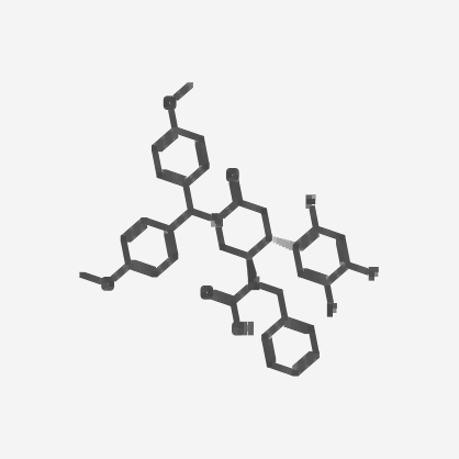 COc1ccc(C(c2ccc(OC)cc2)N2C[C@H](N(Cc3ccccc3)C(=O)O)[C@@H](c3cc(F)c(F)cc3F)CC2=O)cc1